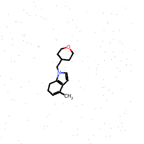 CC1=CCCc2c1ccn2CC1CCOCC1